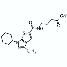 Cc1nn(C2CCCCC2)c2sc(C(=O)NCCCC(=O)O)cc12